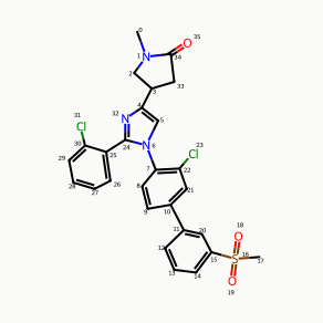 CN1CC(c2cn(-c3ccc(-c4cccc(S(C)(=O)=O)c4)cc3Cl)c(-c3ccccc3Cl)n2)CC1=O